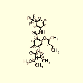 CCCC(C)Oc1cc(-n2nc(C)n(C(C)C)c2=O)c(F)cc1C(=O)Nc1cccc(C(F)(F)F)c1